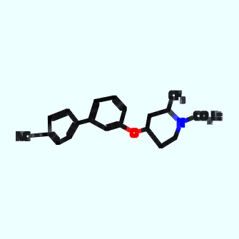 CCOC(=O)N1CCC(Oc2cccc(-c3ccc(C#N)cc3)c2)CC1C(F)(F)F